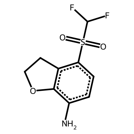 Nc1ccc(S(=O)(=O)C(F)F)c2c1OCC2